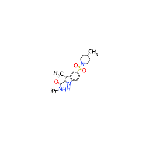 Cc1c(C(=O)NC(C)C)[nH]c2ccc(S(=O)(=O)N3CCC(C)CC3)cc12